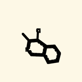 Cc1ncc2ccccc2c1Cl